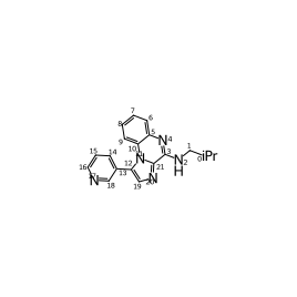 CC(C)CNc1nc2ccccc2n2c(-c3cccnc3)cnc12